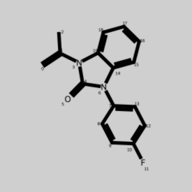 C=C(C)n1c(=O)n(-c2ccc(F)cc2)c2ccccc21